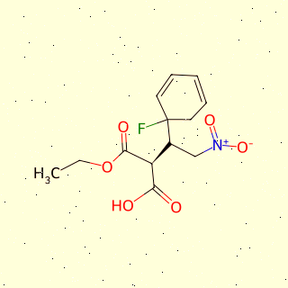 CCOC(=O)[C@H](C(=O)O)C(C[N+](=O)[O-])C1(F)C=CC=CC1